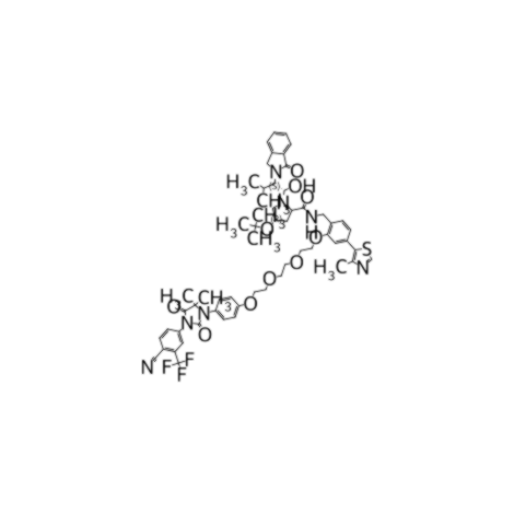 Cc1ncsc1-c1ccc(CNC(=O)C2C[C@@H](OC(C)(C)C)CN2C(O)[C@H](C(C)C)N2Cc3ccccc3C2=O)c(OCCOCCOCCOc2ccc(N3C(=O)N(c4ccc(C#N)c(C(F)(F)F)c4)C(=O)C3(C)C)cc2)c1